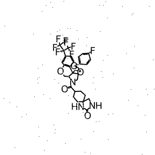 O=C1NCC2(CCC(C(=O)N3CCC4(S(=O)(=O)c5ccc(F)cc5)c5ccc(C(F)(C(F)(F)F)C(F)(F)F)cc5OCC34)CC2)N1